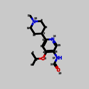 CC(C)Oc1cc(C2CCN(C)CC2)ncc1NC=O